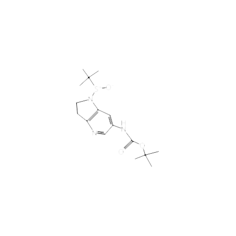 CC(C)(C)OC(=O)Nc1cnc2c(c1)N([S+]([O-])C(C)(C)C)CC2